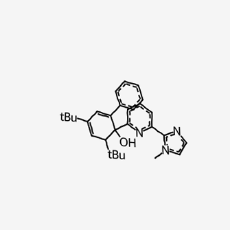 Cn1ccnc1-c1cccc(C2(O)C(c3ccccc3)=CC(C(C)(C)C)=CC2C(C)(C)C)n1